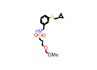 COCOCCCS(=O)(=O)NCc1cccc(SCC2CC2)c1